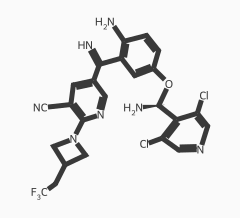 N#Cc1cc(C(=N)c2cc(O[C@H](N)c3c(Cl)cncc3Cl)ccc2N)cnc1N1CC(CC(F)(F)F)C1